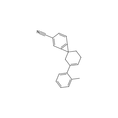 Cc1ccccc1C1=CCCC2(C1)c1ccc(C#N)cc12